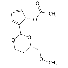 COC[C@@H]1CCOC(C2=CC=C[C@@H]2OC(C)=O)O1